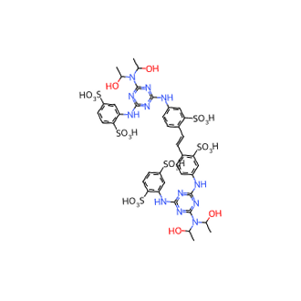 CC(O)N(c1nc(Nc2ccc(C=Cc3ccc(Nc4nc(Nc5cc(S(=O)(=O)O)ccc5S(=O)(=O)O)nc(N(C(C)O)C(C)O)n4)cc3S(=O)(=O)O)c(S(=O)(=O)O)c2)nc(Nc2cc(S(=O)(=O)O)ccc2S(=O)(=O)O)n1)C(C)O